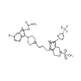 CS(=O)(=O)N1CCc2c(c(-c3ccc(C(F)(F)F)cc3)nn2CCCN2CCC(c3c(OC(N)=O)sc4cc(F)ccc34)CC2)C1